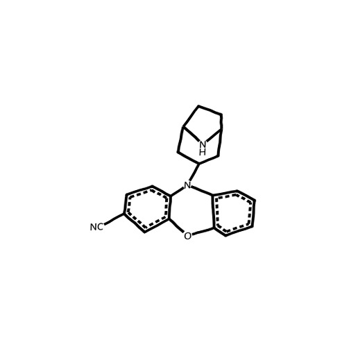 N#Cc1ccc2c(c1)Oc1ccccc1N2C1CC2CCC(C1)N2